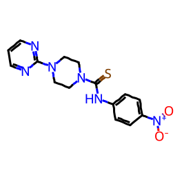 O=[N+]([O-])c1ccc(NC(=S)N2CCN(c3ncccn3)CC2)cc1